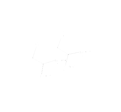 CCCCCCCCC(CO)CCCCCC.CCCCCCCCCCC(CO)CCCCCCCC